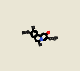 CCOC(=O)C1=CN2C(CC)Cc3cc(OC)c(CC)cc3C2CC1=O